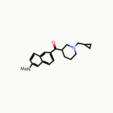 CNc1ccc2cc(C(=O)C3CCCN(CC4CC4)C3)ccc2c1